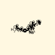 Cn1nnnc1SCC1=C(C(=O)[O-])N2C(=O)[C@@H](NC(=O)Cc3ccc(NC(=O)CC[C@@H](N)C(=O)[O-])cc3)[C@@H]2SC1.[Na+].[Na+]